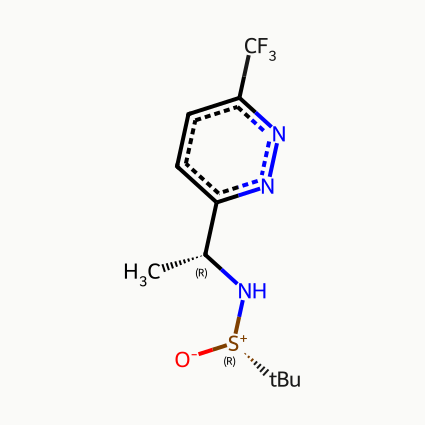 C[C@@H](N[S@@+]([O-])C(C)(C)C)c1ccc(C(F)(F)F)nn1